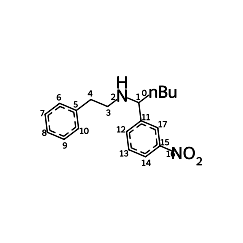 CCCCC(NCCc1ccccc1)c1cccc([N+](=O)[O-])c1